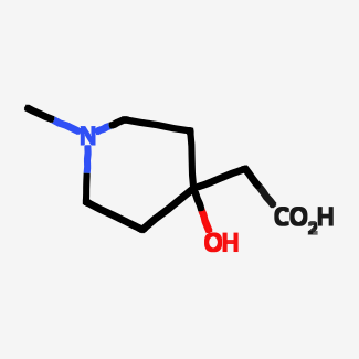 CN1CCC(O)(CC(=O)O)CC1